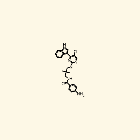 CC(C)(CNC(=O)c1ccc(N)cc1)CNc1ncc(Cl)c(-c2c[nH]c3ccccc23)n1